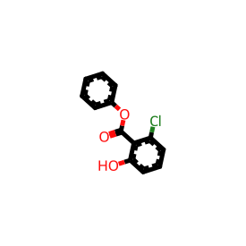 O=C(Oc1ccccc1)c1c(O)cccc1Cl